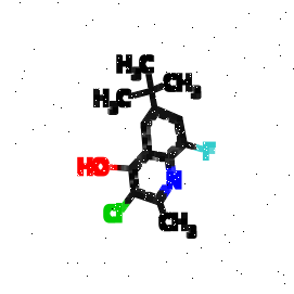 Cc1nc2c(F)cc(C(C)(C)C)cc2c(O)c1Cl